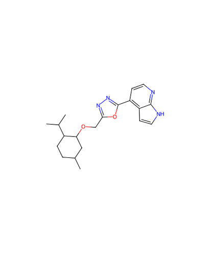 CC1CCC(C(C)C)C(OCc2nnc(-c3ccnc4[nH]ccc34)o2)C1